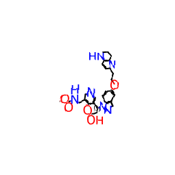 COC(=O)NCc1cncc([C@H](CC(=O)O)n2ncc3cc(OCCc4ccc5c(n4)CCCN5)ccc32)c1